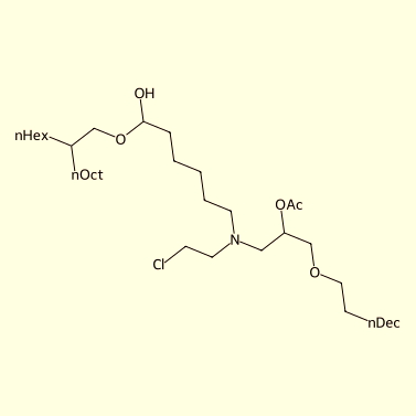 CCCCCCCCCCCCOCC(CN(CCCl)CCCCCC(O)OCC(CCCCCC)CCCCCCCC)OC(C)=O